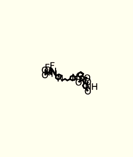 O=C1CCC(N2C(=O)c3cccc(N4CCC(CCCN5CCC(n6cc([N+](=O)[O-])c(C(F)F)n6)CC5)CC4)c3C2=O)C(=O)N1